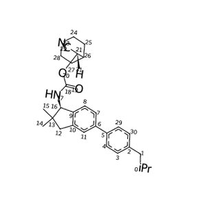 CC(C)Cc1ccc(-c2ccc3c(c2)CC(C)(C)[C@H]3NC(=O)O[C@@H]2CN3CCC2CC3)cc1